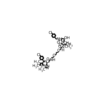 Cc1sc2c(c1C)C(c1ccc(Cl)cc1)=N[C@@H](CC(=O)NCCOCCCOCC(=O)NC(C(=O)N1C[C@H](O)C[C@H]1C(=O)NCc1ccc(Cl)cc1)C(C)(C)C)c1nnc(C)n1-2